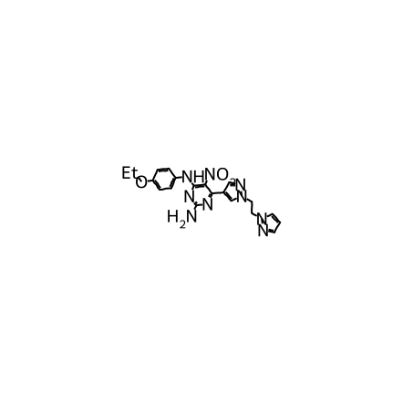 CCOc1ccc(Nc2nc(N)nc(-c3cnn(CCn4cccn4)c3)c2[N+](=O)[O-])cc1